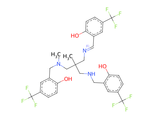 CN(Cc1cc(C(F)(F)F)ccc1O)CC(C)(C/N=C/c1cc(C(F)(F)F)ccc1O)CNCc1cc(C(F)(F)F)ccc1O